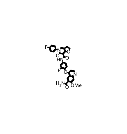 COc1cc2nccc(Oc3ccc(NC(=O)c4c5c(cn(-c6ccc(F)cc6)c4=O)CCO5)cc3F)c2cc1C(N)=O